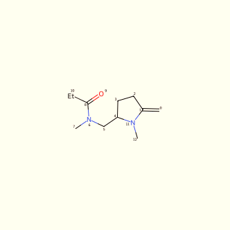 C=C1CCC(CN(C)C(=O)CC)N1C